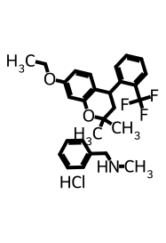 CCOc1ccc2c(c1)OC(C)(C)CC2c1ccccc1C(F)(F)F.CNCc1ccccc1.Cl